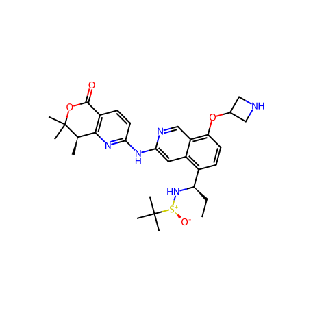 CC[C@@H](N[S@@+]([O-])C(C)(C)C)c1ccc(OC2CNC2)c2cnc(Nc3ccc4c(n3)[C@@H](C)C(C)(C)OC4=O)cc12